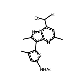 CCC(CC)c1cc(C)nc2c(-c3sc(NC(C)=O)cc3C)c(C)nn12